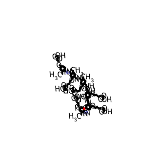 CCc1cc(OCCS(=O)(=O)O)ccc1/N=N\c1cc(OCCCCS(=O)(=O)O)c(N=Nc2cc(OCCCCS(=O)(=O)O)c(NC(=O)Nc3cc(C)c(N=Nc4cc(C)c(/N=N/c5ccc(OCCS(=O)(=O)O)cc5CC)cc4OCCCCS(=O)(=O)O)cc3OCCCCS(=O)(=O)O)cc2C)cc1C